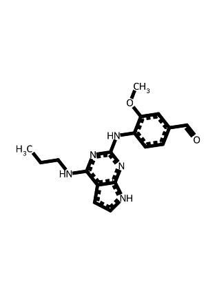 CCCNc1nc(Nc2ccc(C=O)cc2OC)nc2[nH]ccc12